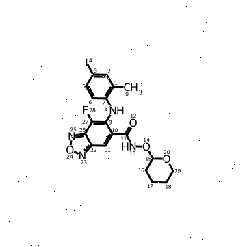 Cc1cc(I)ccc1Nc1c(C(=O)NOC2CCCCO2)cc2nonc2c1F